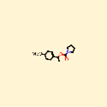 COC1CC=C(C(C)OC(=O)N2CCCC2)CC1